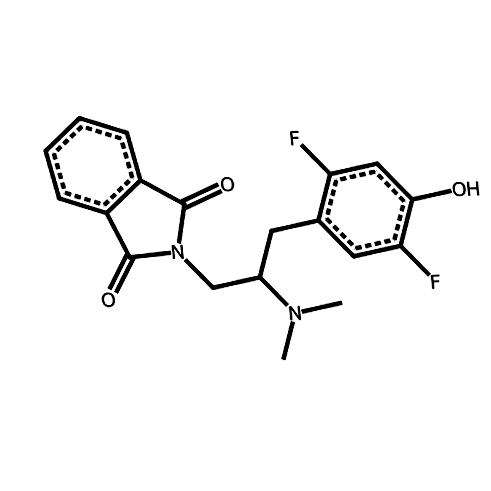 CN(C)C(Cc1cc(F)c(O)cc1F)CN1C(=O)c2ccccc2C1=O